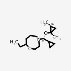 CCC1CCCN([C@H](OC2(C)C[C@@H]2C)C2CC2)CCO1